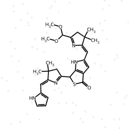 COC(OC)C1=N/C(=C\c2cc3c([nH]2)C(C2=N/C(=C\c4ccc[nH]4)C(C)(C)C2)SC3=O)C(C)(C)C1